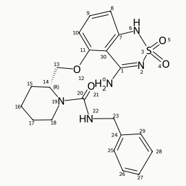 NC1=NS(=O)(=O)Nc2cccc(OC[C@H]3CCCCN3C(=O)NCc3ccccc3)c21